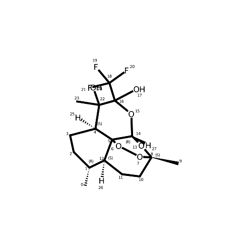 C[C@@H]1CC[C@@H]2C34OO[C@@](C)(CC[C@@H]13)O[C@H]4OC(O)(C(F)(F)F)C2(C)O